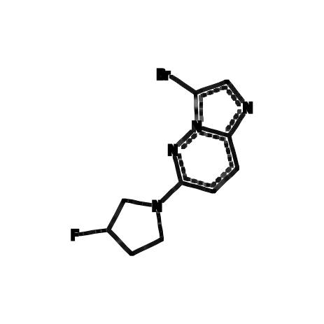 FC1CCN(c2ccc3ncc(Br)n3n2)C1